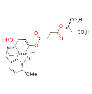 COc1ccc2c3c1O[C@@H]1C(OC(=O)CCC(=O)O[C@H](CC(=O)O)C(=O)O)=CC[C@]4(O)[C@@H](CCC[C@@]314)C2